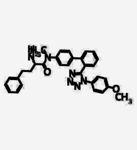 COc1ccc(-n2nnnc2-c2ccccc2-c2ccc(N(C)C(=O)[C@H](N)CCc3ccccc3)cc2)cc1